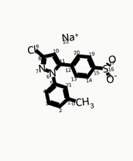 Cc1cccc(-n2nc(Cl)cc2-c2ccc(S(=O)[O-])cc2)c1.[Na+]